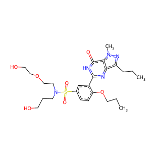 CCCOc1ccc(S(=O)(=O)N(CCCO)CCOCCO)cc1-c1nc2c(CCC)nn(C)c2c(=O)[nH]1